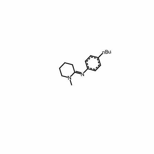 CCCCc1ccc(/N=C2\CCCCN2C)cc1